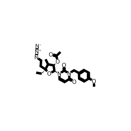 CC[C@@]1(CCN=[N+]=[N-])O[C@@H](n2ccc(=O)n(Cc3ccc(OC)cc3)c2=O)[C@@H](OC(C)=O)C1C